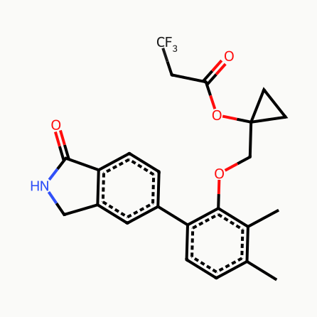 Cc1ccc(-c2ccc3c(c2)CNC3=O)c(OCC2(OC(=O)CC(F)(F)F)CC2)c1C